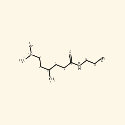 CC(=O)N(C)CCC(C)CCC(=O)NCCC(C)C